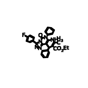 CCOC(=O)C1=C(C)Nc2c(c3nnc(-c4ccc(F)cc4)n3c(=O)n2-c2ccccc2)C1c1ccccc1